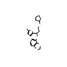 Brc1ccc(C(CCNC2CCCC2)Oc2cccc3c2OCO3)s1